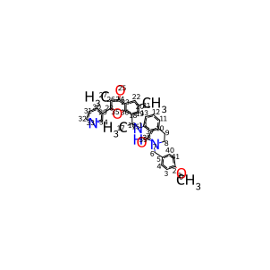 COc1ccc(CN2CCc3cccc(NC(C)c4cc(C)cc5c(=O)c(C)c(-c6cccnc6)oc45)c3C2=O)cc1